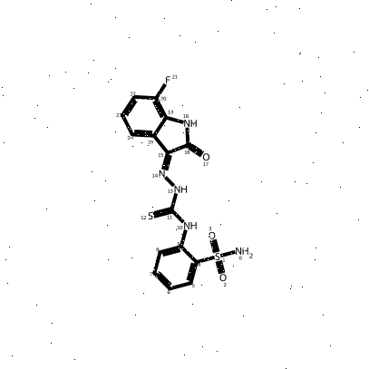 NS(=O)(=O)c1ccccc1NC(=S)NN=C1C(=O)Nc2c(F)cccc21